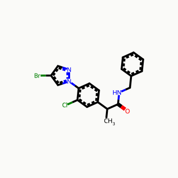 CC(C(=O)NCc1ccccc1)c1ccc(-n2cc(Br)cn2)c(Cl)c1